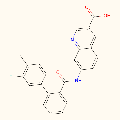 Cc1ccc(-c2ccccc2C(=O)Nc2ccc3cc(C(=O)O)cnc3c2)cc1F